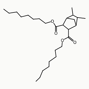 CCCCCCCCOC(=O)C1C2CC(C(C)C2C)C1C(=O)OCCCCCCCC